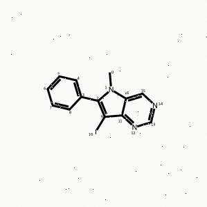 Cn1c(-c2ccccc2)c(I)c2ncncc21